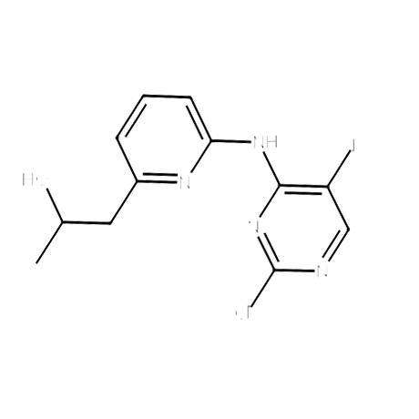 CC(O)Cc1cccc(Nc2nc(Cl)ncc2I)n1